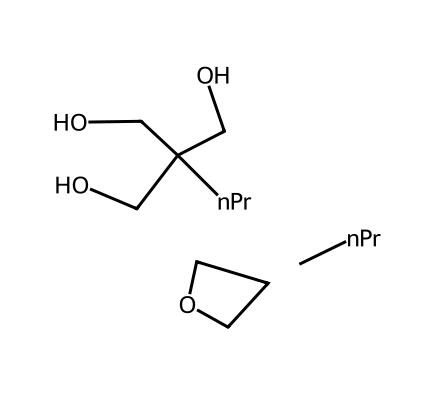 C1COC1.CCCC.CCCC(CO)(CO)CO